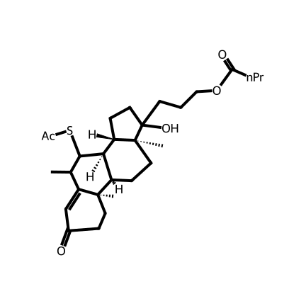 CCCC(=O)OCCCC1(O)CC[C@H]2[C@@H]3C(SC(C)=O)C(C)C4=CC(=O)CC[C@]4(C)[C@@H]3CC[C@@]21C